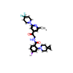 Cc1cc(C(=O)CNC(=O)c2ccc(I)cc2N2CCC3(CC2)CC3)cc(N2CCC(F)(F)CC2)n1